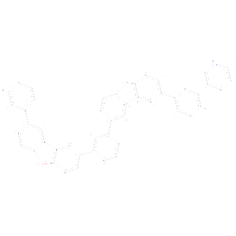 c1ccc(-c2ccc3oc4ccc(-c5cccc(-c6ccc7sc8ccc(-c9cccc(-c%10cccnc%10)c9)cc8c7c6)c5)cc4c3c2)cc1